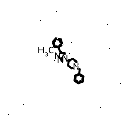 Cc1ccccc1-c1cn(C2CCN(Cc3ccccc3)CC2)nn1